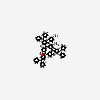 Cc1cc(C)c(N2c3cc4c(cc3B3c5cc6c(cc5Oc5cc(N(c7ccccc7)c7ccccc7)cc2c53)Oc2cc(N(c3ccccc3)c3ccccc3)cc3c2B6c2ccccc2O3)B2c3ccccc3Oc3cc(N(c5ccccc5)c5ccccc5)cc(c32)O4)c(C)c1